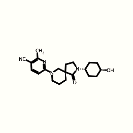 Cc1nc(N2CCC[C@]3(CCN([C@H]4CC[C@H](O)CC4)C3=O)C2)ccc1C#N